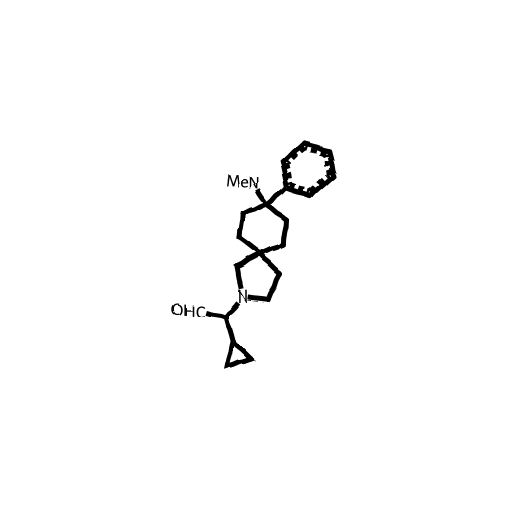 CNC1(c2ccccc2)CCC2(CCN(C(C=O)C3CC3)C2)CC1